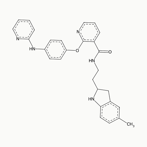 Cc1ccc2c(c1)CC(CCNC(=O)c1cccnc1Oc1ccc(Nc3ccccn3)cc1)N2